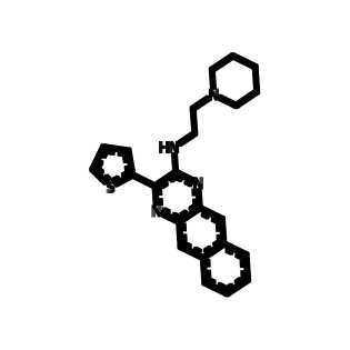 c1csc(-c2nc3cc4ccccc4cc3nc2NCCN2CCCCC2)c1